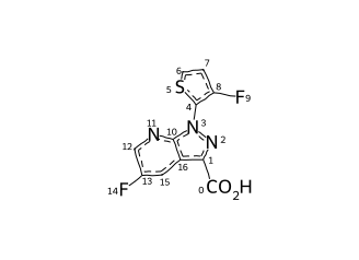 O=C(O)c1nn(-c2sccc2F)c2ncc(F)cc12